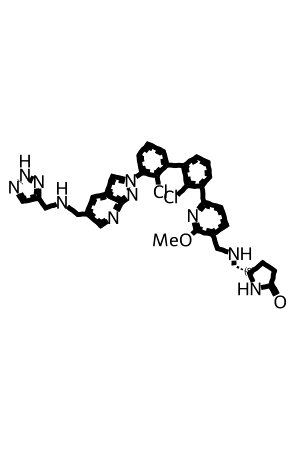 COc1nc(-c2cccc(-c3cccc(-n4cc5cc(CNCc6cn[nH]n6)cnc5n4)c3Cl)c2Cl)ccc1CNC[C@@H]1CCC(=O)N1